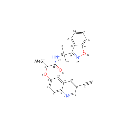 C#Cc1cnc2ccc(OC(SC)C(=O)NC(C)(C)c3noc4ccccc34)cc2c1